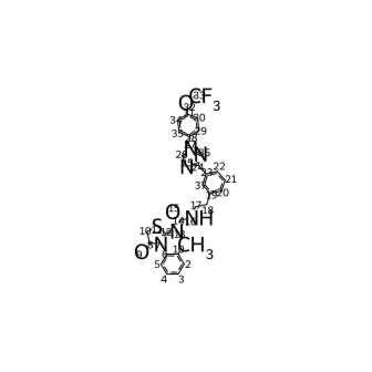 Cc1ccccc1N1C(=O)CSC1=NC(=O)NCCc1cccc(-c2ncn(-c3ccc(OC(F)(F)F)cc3)n2)c1